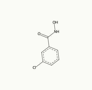 O=C(NO)c1cccc(Cl)c1